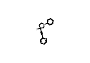 FC1(C#Cc2ccccn2)CCN(c2ccccc2)C1